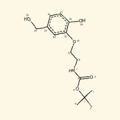 CC(C)(C)OC(=O)NCCOc1cc(CO)ccc1O